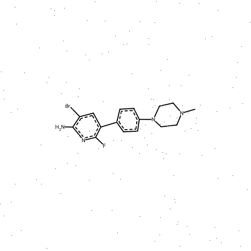 CN1CCN(c2ccc(-c3cc(Br)c(N)nc3F)cc2)CC1